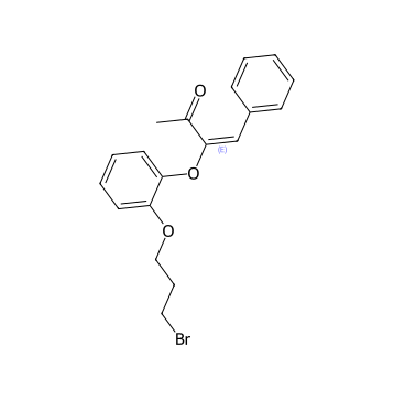 CC(=O)/C(=C\c1ccccc1)Oc1ccccc1OCCCBr